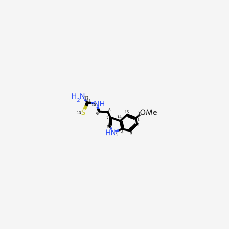 COc1ccc2[nH]cc(CCNC(N)=S)c2c1